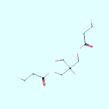 CCC(CO)(COC(=O)CCS)COC(=O)CCS